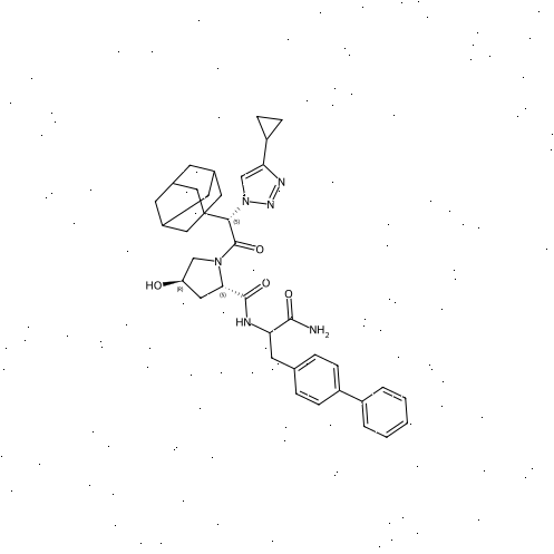 NC(=O)C(Cc1ccc(-c2ccccc2)cc1)NC(=O)[C@@H]1C[C@@H](O)CN1C(=O)[C@@H](n1cc(C2CC2)nn1)C12CC3CC(CC(C3)C1)C2